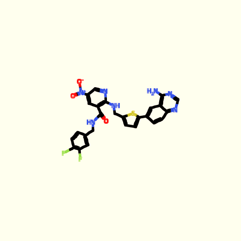 Nc1ncnc2ccc(-c3ccc(CNc4ncc([N+](=O)[O-])cc4C(=O)NCc4ccc(F)c(F)c4)s3)cc12